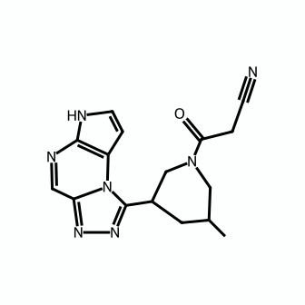 CC1CC(c2nnc3cnc4[nH]ccc4n23)CN(C(=O)CC#N)C1